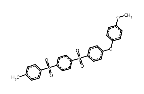 COc1ccc(Oc2ccc(S(=O)(=O)c3ccc(S(=O)(=O)c4ccc(C)cc4)cc3)cc2)cc1